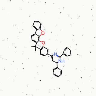 CC1(C)c2ccc(C3=CC(c4ccccc4)NC(c4ccccc4)=N3)cc2Oc2c1ccc1c2oc2ccccc21